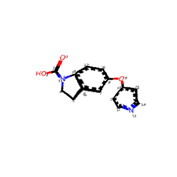 O=C(O)N1CCc2cc(Oc3ccncc3)ccc21